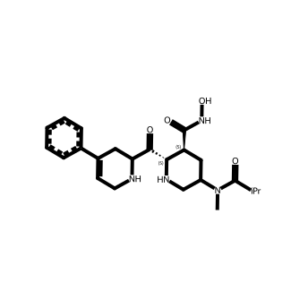 CC(C)C(=O)N(C)C1CN[C@H](C(=O)C2CC(c3ccccc3)=CCN2)[C@@H](C(=O)NO)C1